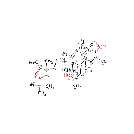 CCCC(C)(C)CC[C@@](C)(CCC(C)(C)[C@]1(C)CC[C@H]2C(C)(C)C(=O)C(C#N)=C[C@]2(C)[C@H]1C[C@H](C)O)C(=O)OC